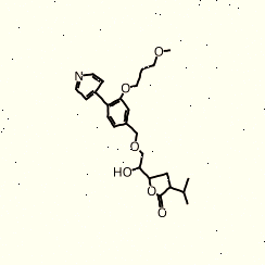 COCCCOc1cc(COCC(O)C2CC(C(C)C)C(=O)O2)ccc1-c1ccncc1